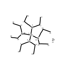 CC[N](CC)[Zr]([N](CC)CC)([N](CC)CC)[N](CC)CC.[Zr]